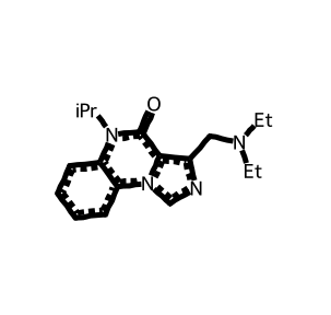 CCN(CC)Cc1ncn2c1c(=O)n(C(C)C)c1ccccc12